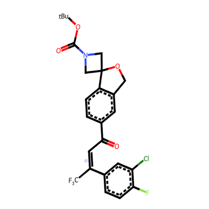 CC(C)(C)OC(=O)N1CC2(C1)OCc1cc(C(=O)/C=C(\c3ccc(F)c(Cl)c3)C(F)(F)F)ccc12